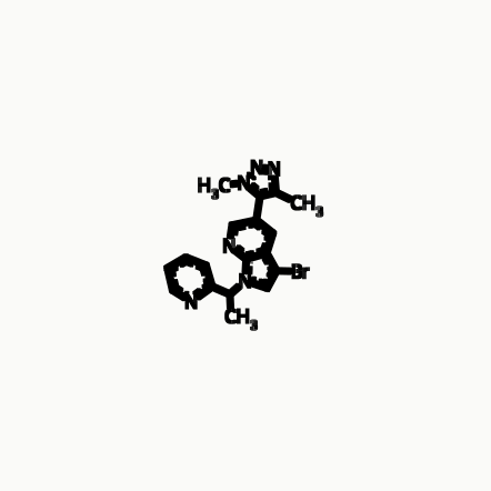 Cc1nnn(C)c1-c1cnc2c(c1)c(Br)cn2C(C)c1ccccn1